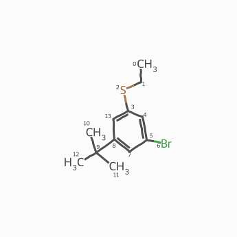 CCSc1cc(Br)cc(C(C)(C)C)c1